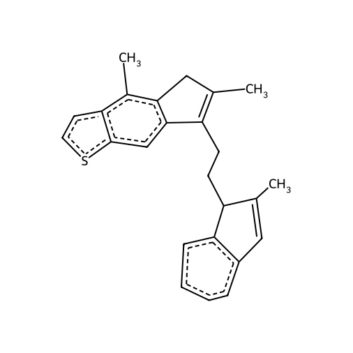 CC1=Cc2ccccc2C1CCC1=C(C)Cc2c1cc1sccc1c2C